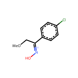 COC/C(=N\O)c1ccc(Cl)cc1